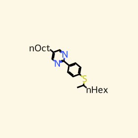 CCCCCCCCc1cnc(-c2ccc(SC(C)CCCCCC)cc2)nc1